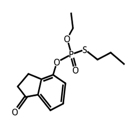 CCCSP(=O)(OCC)Oc1cccc2c1CCC2=O